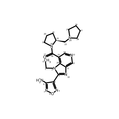 CCn1c(-c2nonc2N)nc2cncc(C(=O)N3CCC[C@H]3CN3CCCC3)c21